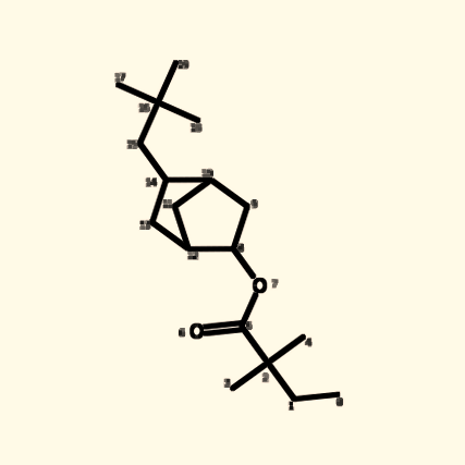 CCC(C)(C)C(=O)OC1CC2CC1CC2CC(C)(C)C